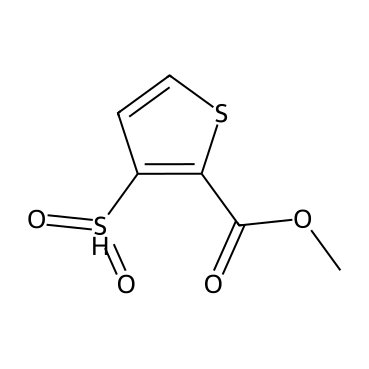 COC(=O)c1sccc1[SH](=O)=O